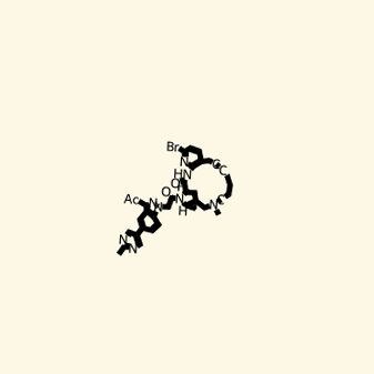 CC(=O)c1nn(CC(=O)N2[C@H]3C[C@]4(C[C@@H]24)CN(C)CCCCCCCc2ccc(Br)nc2NC3=O)c2ccc(-c3cnc(C)nc3)cc12